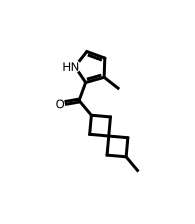 Cc1cc[nH]c1C(=O)C1CC2(CC(C)C2)C1